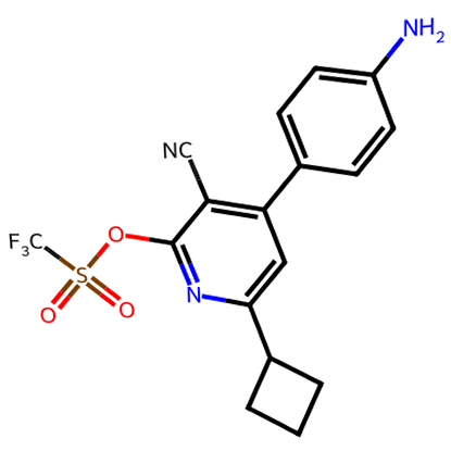 N#Cc1c(-c2ccc(N)cc2)cc(C2CCC2)nc1OS(=O)(=O)C(F)(F)F